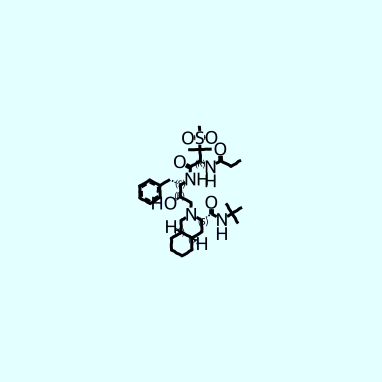 CCC(=O)N[C@H](C(=O)N[C@@H](Cc1ccccc1)[C@H](O)CN1C[C@H]2CCCC[C@H]2C[C@H]1C(=O)NC(C)(C)C)C(C)(C)S(C)(=O)=O